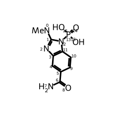 CNc1nc2cc(C(N)=O)ccc2n1P(=O)(O)O